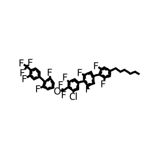 CCCCCCc1cc(F)c(-c2cc(F)c(-c3cc(F)c(C(F)(F)Oc4cc(F)c(-c5ccc(C(F)(F)F)c(F)c5)c(F)c4)c(Cl)c3)c(F)c2)c(F)c1